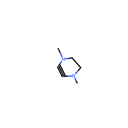 CN1C#CN(C)CC1